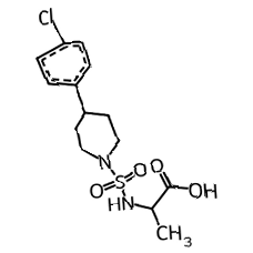 CC(NS(=O)(=O)N1CCC(c2ccc(Cl)cc2)CC1)C(=O)O